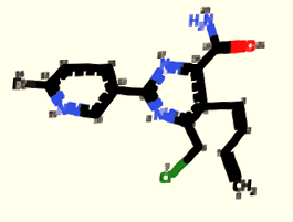 C=C/C=C\c1c(CCl)nc(-c2ccc(CC)nc2)nc1C(N)=O